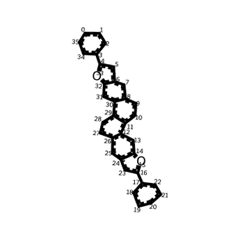 c1ccc(-c2cc3cc4ccc5c6cc7oc(-c8ccccc8)cc7cc6ccc5c4cc3o2)cc1